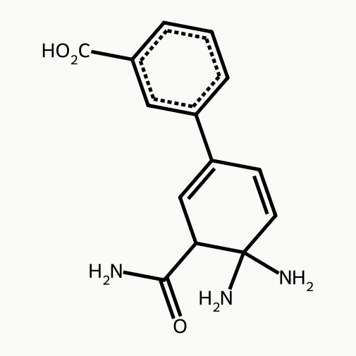 NC(=O)C1C=C(c2cccc(C(=O)O)c2)C=CC1(N)N